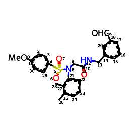 COc1ccc(S(=O)(=O)N(CC(=O)NCc2cccc(C=O)c2)c2cccc(C)c2C)cc1